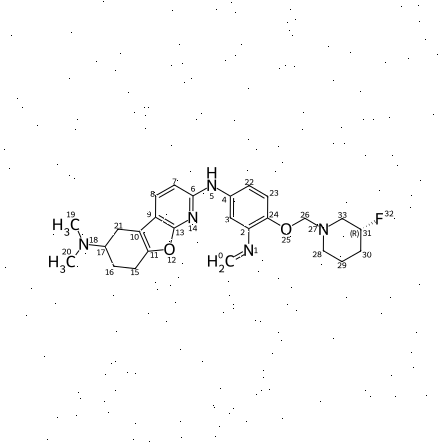 C=Nc1cc(Nc2ccc3c4c(oc3n2)CCC(N(C)C)C4)ccc1OCN1CCC[C@@H](F)C1